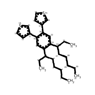 CCCCCC(CC)c1cc(-c2ccsc2)c(-c2ccsc2)cc1C(CC)CCCCC